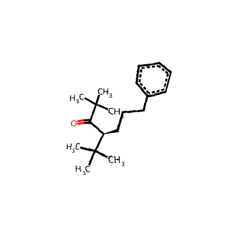 CC(C)(C)C(=O)[C@@H](CCCc1ccccc1)C(C)(C)C